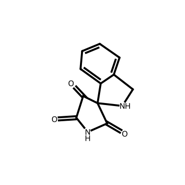 O=C1NC(=O)C2(NCc3ccccc32)C1=O